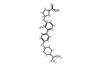 CC(C)C1CCC(Oc2ccc(-c3cccc(CN4CCC(C(=O)O)C4)c3F)cc2)CC1